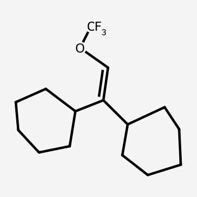 FC(F)(F)OC=C(C1CCCCC1)C1CCCCC1